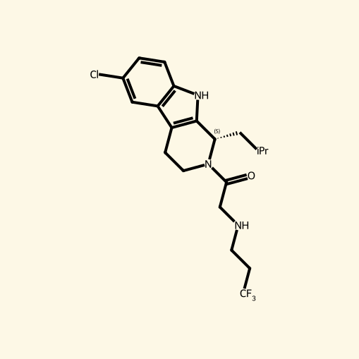 CC(C)C[C@H]1c2[nH]c3ccc(Cl)cc3c2CCN1C(=O)CNCCC(F)(F)F